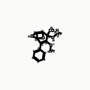 CCCOC1=C(c2ccccc2)C23OC2=C(O3)C1(OCCC)C(=O)O